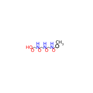 Cc1cccc(C(=O)NCCC(=O)NCCC(=O)NCCC(=O)O)c1